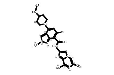 CCNC1CCN(c2cc(F)c(C(=O)Nc3cn4cc(C)nc(C#N)c4n3)c3nn(C)cc23)CC1